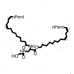 CCCCC/C=C\C/C=C\CCCCCCCCOC(=O)C(CNC(=O)CO)NC(=O)CCCCCCC/C=C\C/C=C\CCCCC